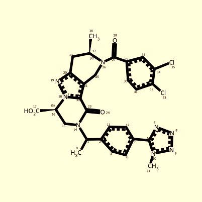 CC(c1ccc(-c2nnnn2C)cc1)N1C[C@@H](C(=O)O)n2nc3c(c2C1=O)CN(C(=O)c1ccc(Cl)c(Cl)c1)[C@H](C)C3